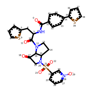 O=C(NC(Cc1cccs1)C(=O)N1CCC2C1C(=O)CN2S(=O)(=O)c1ccc[n+]([O-])c1)c1ccc(-c2cccs2)cc1